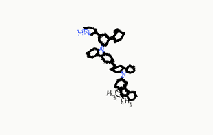 CC1(C)C2CCCCC2C2CC(N3C4CCCCC4C4CC(C5CCC6C(C5)C5CCCCC5N6C5CC(C6CCCCC6)CC(C6CCCNC6)C5)CCC43)CCC21